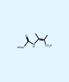 CCCCCC(=O)N/C(C)=C(/C)C(=O)O